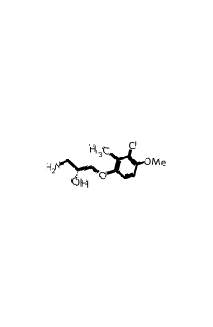 COc1ccc(OC[C@H](O)CN)c(C)c1Cl